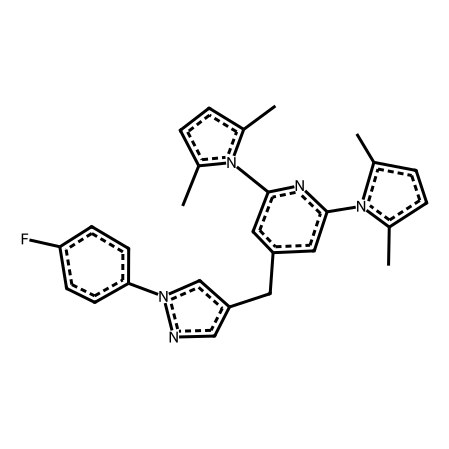 Cc1ccc(C)n1-c1cc(Cc2cnn(-c3ccc(F)cc3)c2)cc(-n2c(C)ccc2C)n1